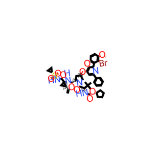 C=C[C@@H]1C[C@]1(NC(=O)[C@@H]1C[C@@H](Oc2cc(-c3ccccc3)nc3c2oc2ccc(OC)c(Br)c23)CN1C(=O)[C@@H](NC(=O)OC1CCCC1)C(C)(C)C)C(=O)NS(=O)(=O)C1CC1